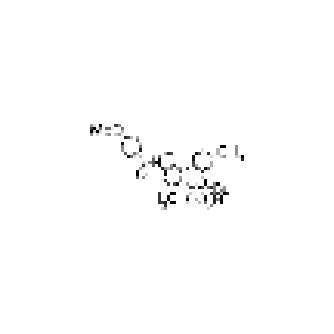 COc1ccc(C(=O)N2CCc3c2cc(C)c([C@H](OC(C)(C)C)C(=O)O)c3-c2ccc(C)cc2)cc1